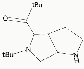 CC(C)(C)C(=O)C1C2CCNC2CN1C(C)(C)C